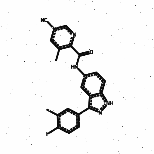 Cc1cc(-c2n[nH]c3ccc(NC(=O)c4ncc(C#N)cc4C)cc23)ccc1F